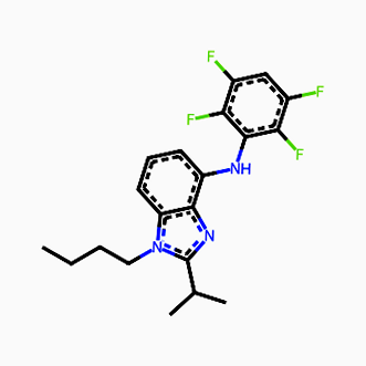 CCCCn1c(C(C)C)nc2c(Nc3c(F)c(F)cc(F)c3F)cccc21